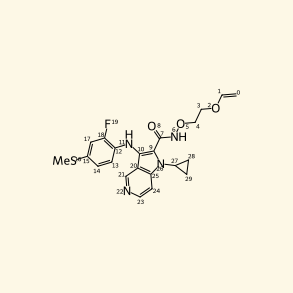 C=COCCONC(=O)c1c(Nc2ccc(SC)cc2F)c2cnccc2n1C1CC1